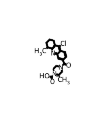 CC1CCCc2c1nc1cc(C(=O)N3CCN(C(=O)O)[C@H](C)C3)ccc1c2Cl